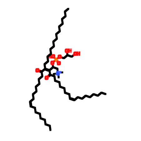 CCCCCCCC/C=C\CCCCCCCC(=O)C(CCCCCCCCCCCCCCCC)=C(C(=O)CCCCCCC/C=C\CCCCCCCC)C(C[N+](C)(C)C)OP(=O)(O)OCC(O)CO